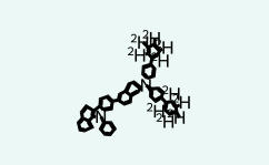 [2H]c1c([2H])c([2H])c(-c2ccc(N(c3ccc(-c4c([2H])c([2H])c([2H])c([2H])c4[2H])cc3)c3ccc4cc(-c5ccc6c7ccc8ccccc8c7n(-c7ccccc7)c6c5)ccc4c3)cc2)c([2H])c1[2H]